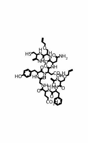 C=CCOCC(NC(=O)C(CC(N)=O)NC(=O)C(CC(=O)O)NC(=O)C(Cc1ccc(O)cc1)NC(=O)CNC(=O)C(CCC(=O)O)NC(=O)C(Cc1ccccc1)NC(=O)C(COCC=C)N(O)C(=C)Cl)C(=O)NC(CS)C(=C)N